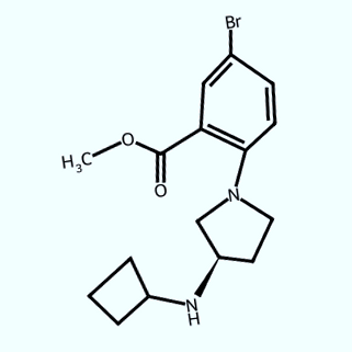 COC(=O)c1cc(Br)ccc1N1CC[C@@H](NC2CCC2)C1